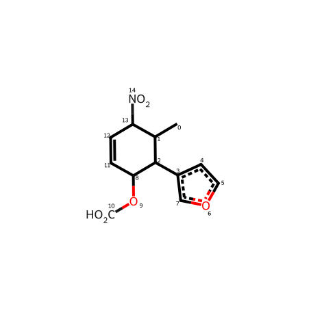 CC1C(c2ccoc2)C(OC(=O)O)C=CC1[N+](=O)[O-]